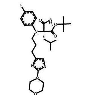 CC(C)C[C@](C(N)=O)(C(=O)OC(C)(C)C)N(CCCc1csc(N2CCOCC2)n1)c1ccc(F)cc1